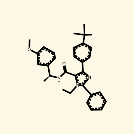 CCn1c(-c2ccccc2)nc(-c2ccc(C(C)(C)C)cc2)c1C(=O)N[C@@H](C)c1cccc(OC)c1